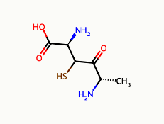 C[C@H](N)C(=O)C(S)[C@H](N)C(=O)O